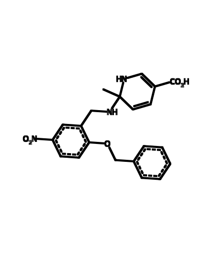 CC1(NCc2cc([N+](=O)[O-])ccc2OCc2ccccc2)C=CC(C(=O)O)=CN1